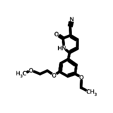 CCOc1cc(OCCOC)cc(-c2ccc(C#N)c(=O)[nH]2)c1